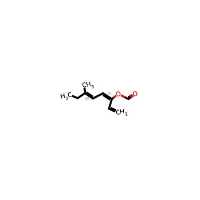 C=C/C(=C\C=C(/C)CC)OC=O